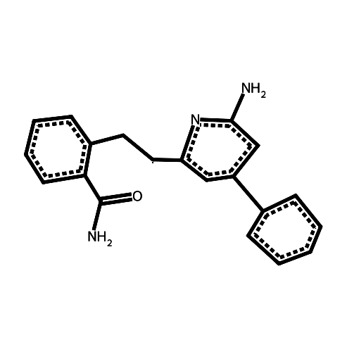 NC(=O)c1ccccc1C[CH]c1cc(-c2ccccc2)cc(N)n1